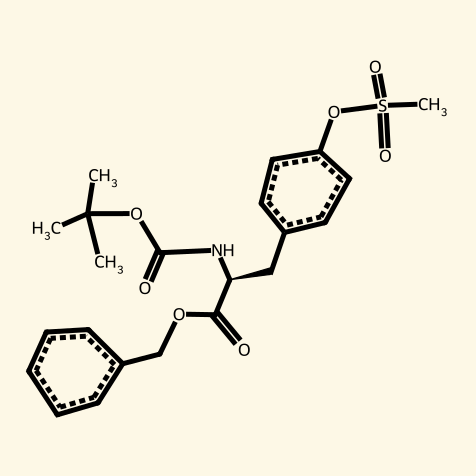 CC(C)(C)OC(=O)N[C@@H](Cc1ccc(OS(C)(=O)=O)cc1)C(=O)OCc1ccccc1